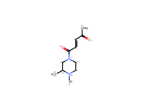 COC(=O)/C=C/C(=O)N1CCN(C(C)C)C(C)C1